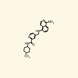 CN1CCC(NC(=O)c2cc(CNc3cccc4c(N)nccc34)ccn2)CC1